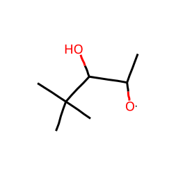 CC([O])C(O)C(C)(C)C